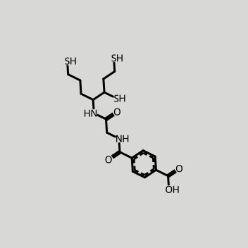 O=C(CNC(=O)c1ccc(C(=O)O)cc1)NC(CCCS)C(S)CCS